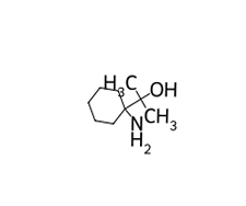 CC(C)(O)C1(N)CCCCC1